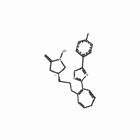 C=C1C[C@H](CCCC2=C(C3=NCC(c4ccc(C)cc4)=N3)C=CCC=C2)CN1CCC